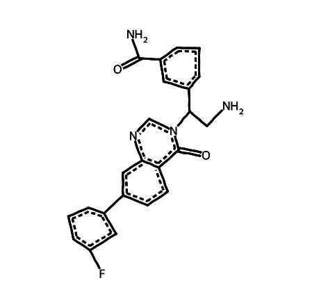 NCC(c1cccc(C(N)=O)c1)n1cnc2cc(-c3cccc(F)c3)ccc2c1=O